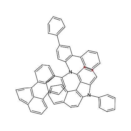 c1ccc(-c2ccc(N(c3ccc(-c4cccc5cccc(-c6ccccc6)c45)cc3)c3cccc4c3c3c5ccccc5ccc3n4-c3ccccc3)c(-c3ccccc3)c2)cc1